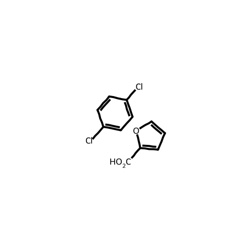 Clc1ccc(Cl)cc1.O=C(O)c1ccco1